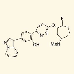 CNC1CCCC(F)[C@@H](Oc2ccc(-c3ccc(-c4cnn5ccccc45)cc3O)nn2)C1